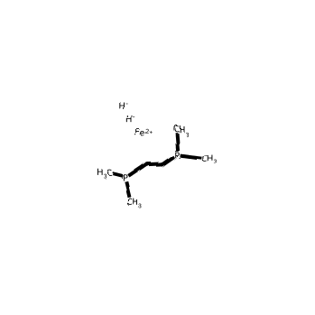 CP(C)CCP(C)C.[Fe+2].[H-].[H-]